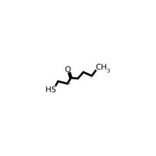 CCCCC(=O)[CH]CS